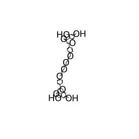 O=c1cc(-c2ccc(OCCOCCOCCOc3ccc(-c4cc(=O)c5c(O)cc(O)cc5o4)cc3)cc2)oc2cc(O)cc(O)c12